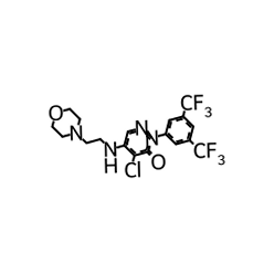 O=c1c(Cl)c(NCCN2CCOCC2)cnn1-c1cc(C(F)(F)F)cc(C(F)(F)F)c1